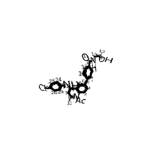 CC(=O)N1c2ccc(-c3ccc(C(=O)NC[C@H](C)O)cc3)cc2[C@H](Nc2ccc(Cl)cc2)C[C@@H]1C